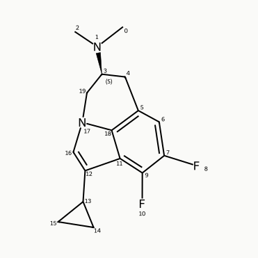 CN(C)[C@H]1Cc2cc(F)c(F)c3c(C4CC4)cn(c23)C1